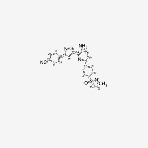 CN=S(C)(=O)c1ccc(-c2cnc(N)c(-c3cc(-c4ccc(C#N)cc4)no3)n2)cc1